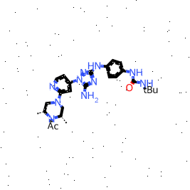 CC(=O)N1[C@H](C)CN(c2cc(-n3nc(Nc4ccc(NC(=O)NC(C)(C)C)cc4)nc3N)ccn2)C[C@@H]1C